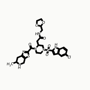 CC1Cc2nc(C(=O)N3CCN(S(=O)(=O)c4cc5cc(Cl)ccc5[nH]4)CC3CC(=O)NCC3OCCO3)sc2CN1